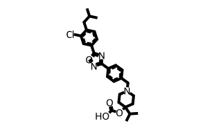 CC(C)Cc1ccc(-c2nc(-c3ccc(CN4CCC(OC(=O)O)(C(C)C)CC4)cc3)no2)cc1Cl